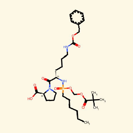 CCCCCCP(=O)(N[C@@H](CCCCNC(=O)OCc1ccccc1)C(=O)N1CCC[C@H]1C(=O)O)OCOC(=O)C(C)(C)C